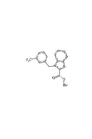 CC(C)(C)OC(=O)c1[c]c2ccccc2n1Cc1cccc(C(F)(F)F)c1